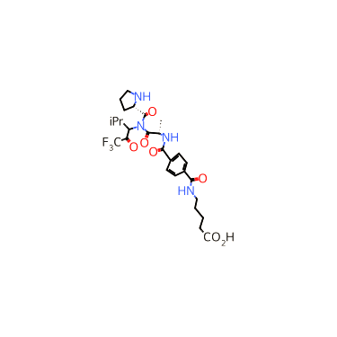 CC(C)C(C(=O)C(F)(F)F)N(C(=O)[C@H](C)NC(=O)c1ccc(C(=O)NCCCCC(=O)O)cc1)C(=O)[C@@H]1CCCN1